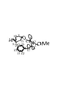 COCCN(C(=O)COC1CCNCC1)C(=O)OCc1ccccc1